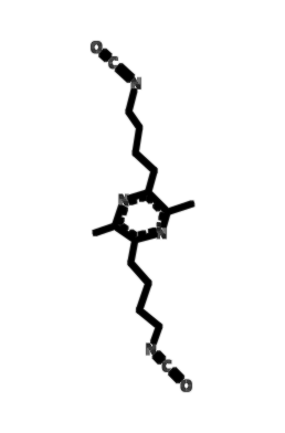 Cc1nc(CCCCN=C=O)c(C)nc1CCCCN=C=O